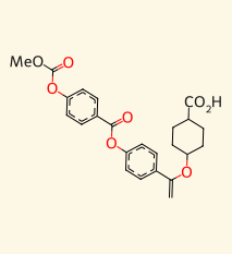 C=C(OC1CCC(C(=O)O)CC1)c1ccc(OC(=O)c2ccc(OC(=O)OC)cc2)cc1